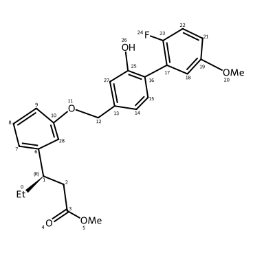 CC[C@H](CC(=O)OC)c1cccc(OCc2ccc(-c3cc(OC)ccc3F)c(O)c2)c1